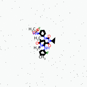 Cc1ccc(Nc2c3c(=O)n(C4CC4)c(=O)n(-c4ccc(F)c(NS(C)(=O)=O)c4)c3c(C)c(=O)n2C)c(F)c1